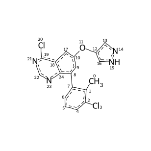 Cc1c(Cl)cccc1-c1cc(Oc2cn[nH]c2)cc2c(Cl)ncnc12